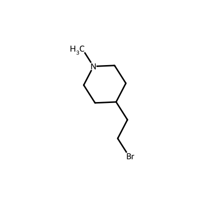 CN1CCC(CCBr)CC1